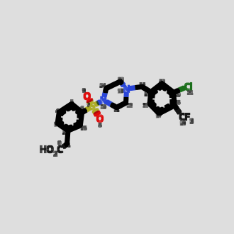 O=C(O)Cc1cccc(S(=O)(=O)N2CCN(Cc3ccc(C(F)(F)F)c(Cl)c3)CC2)c1